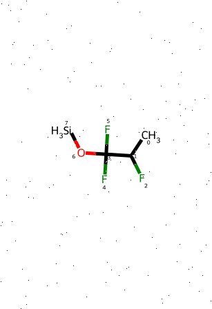 CC(F)C(F)(F)O[SiH3]